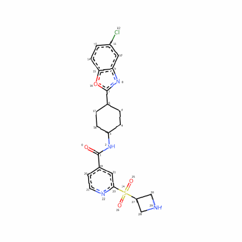 O=C(NC1CCC(c2nc3cc(Cl)ccc3o2)CC1)c1ccnc(S(=O)(=O)C2CNC2)c1